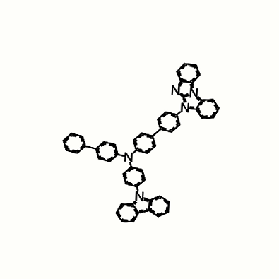 c1ccc(-c2ccc(N(c3ccc(-c4ccc(-n5c6ccccc6n6c7ccccc7nc56)cc4)cc3)c3ccc(-n4c5ccccc5c5ccccc54)cc3)cc2)cc1